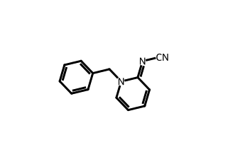 N#CN=c1ccccn1Cc1ccccc1